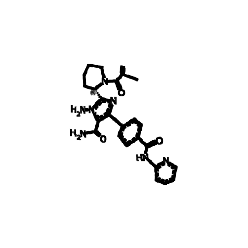 C=C(C)C(=O)N1CCCC[C@H]1c1nc(-c2ccc(C(=O)Nc3ccccn3)cc2)c(C(N)=O)n1N